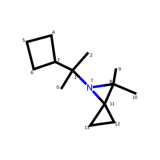 CC(C)(C1CCC1)N1C(C)(C)C12CC2